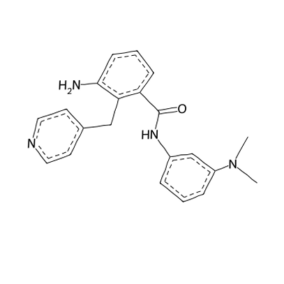 CN(C)c1cccc(NC(=O)c2cccc(N)c2Cc2ccncc2)c1